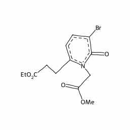 CCOC(=O)CCc1ccc(Br)c(=O)n1CC(=O)OC